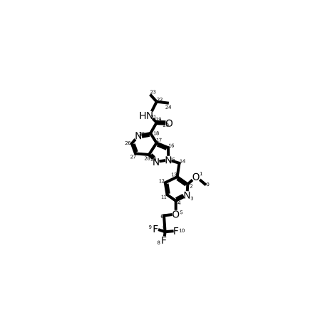 COc1nc(OCC(F)(F)F)ccc1Cn1cc2c(C(=O)NC(C)C)nccc2n1